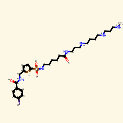 CCNCCCNCCCCNCCCNC(=O)CCCCCNS(=O)(=O)c1ccc(CNC(=O)c2ccc(I)cc2)s1